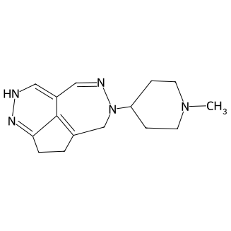 CN1CCC(N2CC3=C4C(=CNN=C4CC3)C=N2)CC1